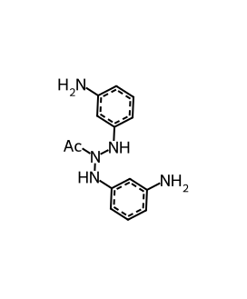 CC(=O)N(Nc1cccc(N)c1)Nc1cccc(N)c1